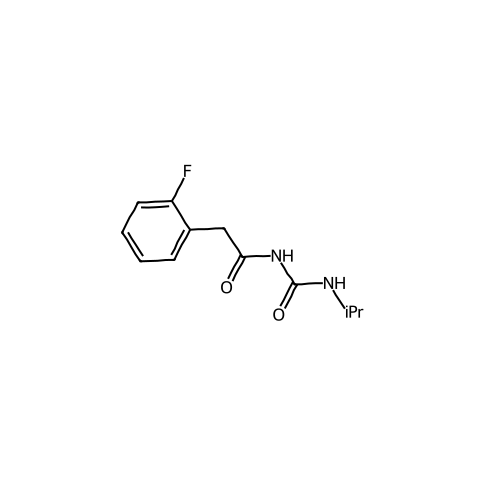 CC(C)NC(=O)NC(=O)Cc1ccccc1F